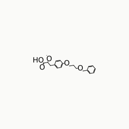 COC(Cc1ccc(OCCCOCc2ccccc2)cc1)C(=O)O